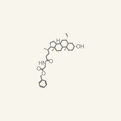 CC[C@H]1C[C@@H]2C(CC[C@@]3(C)C2CC[C@@H]3[C@H](C)CCC(=O)NCC(=O)OCc2ccccc2)[C@@]2(C)CC[C@@H](O)CC12